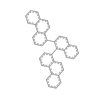 c1ccc2c(-c3cccc4c3ccc3ccccc34)c(-c3cccc4c3ccc3ccccc34)ccc2c1